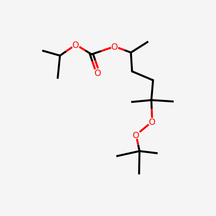 CC(C)OC(=O)OC(C)CCC(C)(C)OOC(C)(C)C